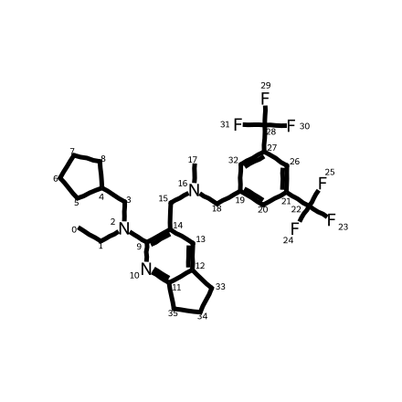 CCN(CC1CCCC1)c1nc2c(cc1CN(C)Cc1cc(C(F)(F)F)cc(C(F)(F)F)c1)CCC2